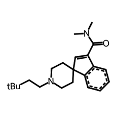 CN(C)C(=O)C1=CC2(CCN(CCC(C)(C)C)CC2)c2ccccc21